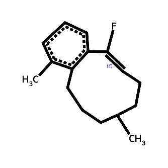 Cc1cccc2c1CCCC(C)CC/C=C/2F